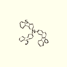 c1ccc2c(c1)oc1ccc3ccc(N(c4ccc5sc6ccccc6c5c4)c4ccc5sc6ccccc6c5c4)cc3c12